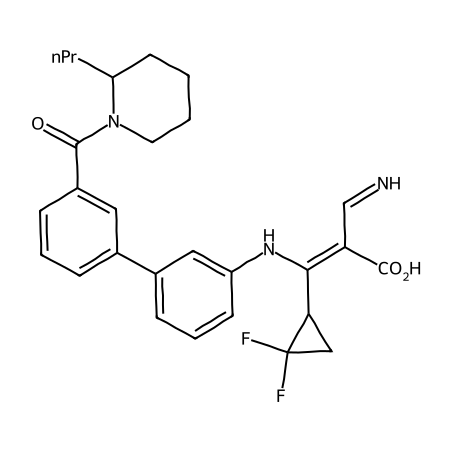 CCCC1CCCCN1C(=O)c1cccc(-c2cccc(N/C(=C(\C=N)C(=O)O)C3CC3(F)F)c2)c1